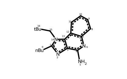 CCCCc1nc2c(N)nc3ccccc3c2n1CC(C)(C)C